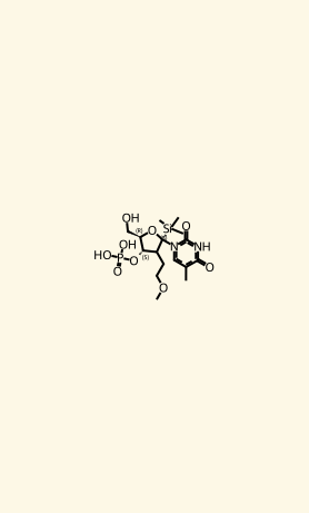 COCCC1[C@H](OP(=O)(O)O)[C@@H](CO)O[C@]1(n1cc(C)c(=O)[nH]c1=O)[Si](C)(C)C